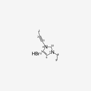 Br.CC#CN1C=CN(CC)C1